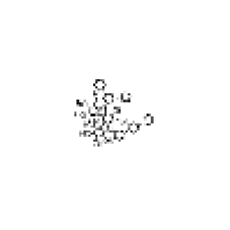 Bc1c(O)c(O)c(B)c2c1c1c3c4c(O)c(O)c(O)c(O)c4n(-c4cccc(-c5ccc(-c6ccccc6)cc5)c4)c3c(O)c(O)c1n2-c1cc(-c2ccccc2)cc(-c2ccccc2)c1